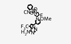 COC1C=CC(c2cc(C(F)(F)F)c3c(N)ncnn23)=CN1[C@@H]1CN(S(=O)(=O)c2ccccc2C#N)C[C@@H]1F